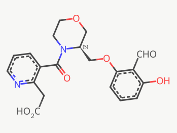 O=Cc1c(O)cccc1OC[C@@H]1COCCN1C(=O)c1cccnc1CC(=O)O